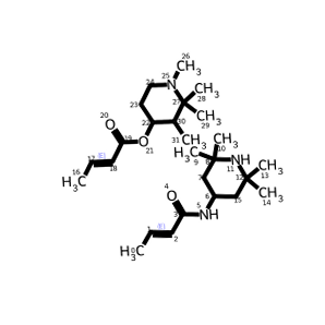 C/C=C/C(=O)NC1CC(C)(C)NC(C)(C)C1.C/C=C/C(=O)OC1CCN(C)C(C)(C)C1C